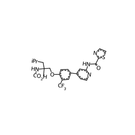 CC(C)CC(C)(COc1ccc(-c2ccnc(NC(=O)c3nccs3)c2)cc1C(F)(F)F)NC(=O)O